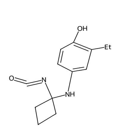 CCc1cc(NC2(N=C=O)CCC2)ccc1O